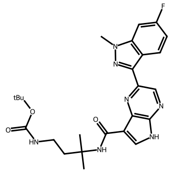 Cn1nc(-c2cnc3[nH]cc(C(=O)NC(C)(C)CCNC(=O)OC(C)(C)C)c3n2)c2ccc(F)cc21